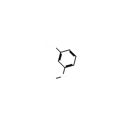 Cc1cccc(BO)c1